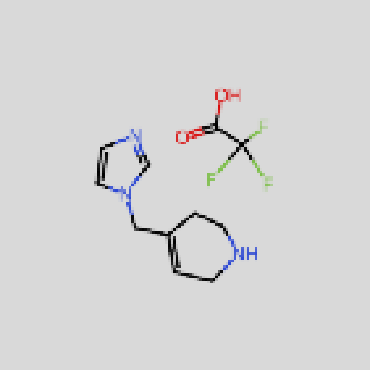 C1=C(Cn2ccnc2)CCNC1.O=C(O)C(F)(F)F